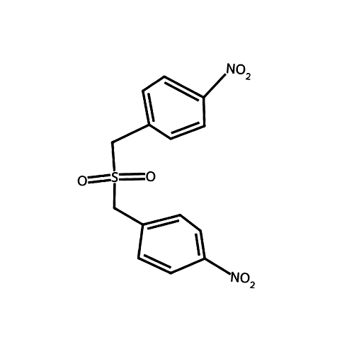 O=[N+]([O-])c1ccc(CS(=O)(=O)Cc2ccc([N+](=O)[O-])cc2)cc1